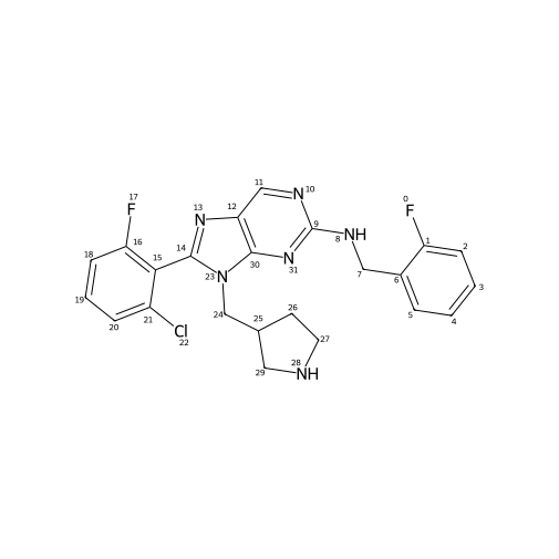 Fc1ccccc1CNc1ncc2nc(-c3c(F)cccc3Cl)n(CC3CCNC3)c2n1